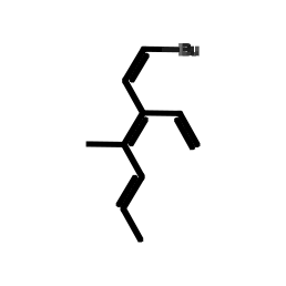 C=CC(/C=C\C(C)CC)=C(C)\C=C\C